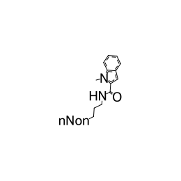 CCCCCCCCCCCCNC(=O)c1cc2ccccc2n1C